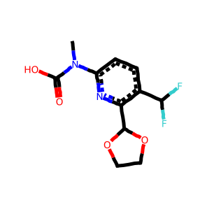 CN(C(=O)O)c1ccc(C(F)F)c(C2OCCO2)n1